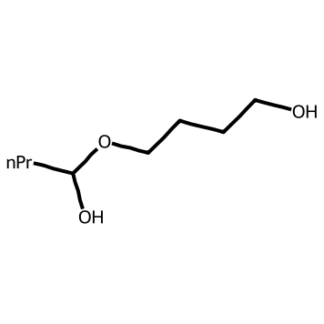 CCCC(O)OCCCCO